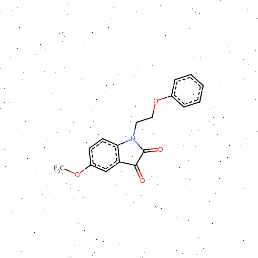 O=C1C(=O)N(CCOc2ccccc2)c2ccc(OC(F)(F)F)cc21